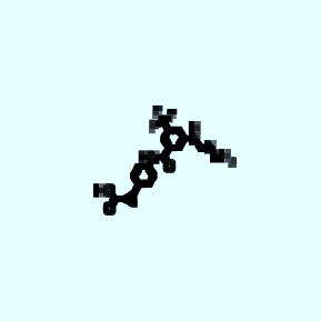 NN=CNc1cc(C(=O)Nc2ccc(C3CC3C(=O)O)cc2)cc(C(F)(F)F)c1